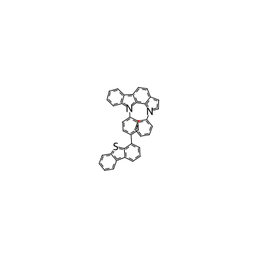 c1ccc(-n2ccc3ccc4c5ccccc5n(-c5ccc(-c6cccc7c6sc6ccccc67)cc5)c4c32)cc1